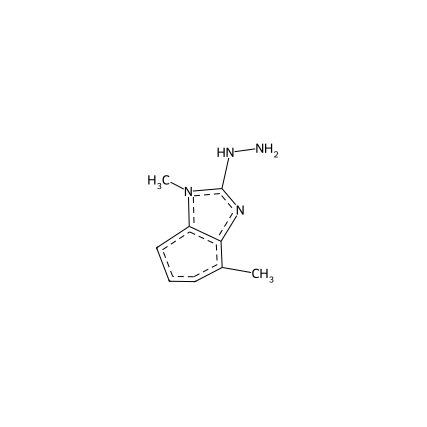 Cc1cccc2c1nc(NN)n2C